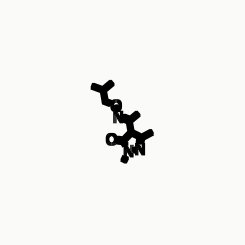 CC(=NOCC(C)C)C1C(=O)N(C)N=C1C